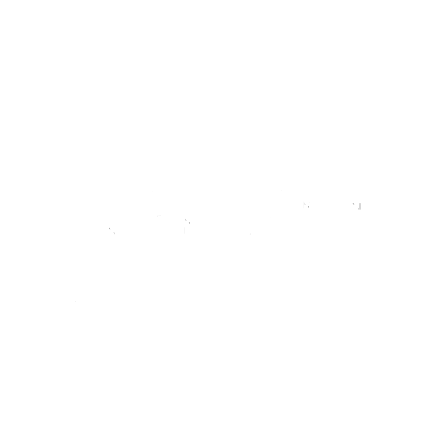 NC1=NC(c2cccc(NC(=O)c3ncc(Cl)cc3F)c2)(C2CC2)C(F)OC1